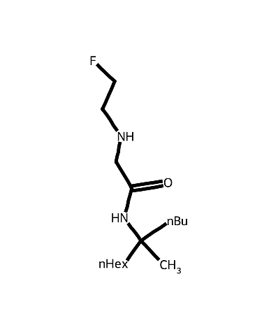 CCCCCCC(C)(CCCC)NC(=O)CNCCF